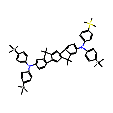 CC1(C)c2cc(N(c3ccc([Si](C)(C)C)cc3)c3ccc([Si](C)(C)C)cc3)ccc2-c2cc3c(cc21)-c1ccc(N(c2ccc([Si](C)(C)C)cc2)c2ccc(S(C)(C)C)cc2)cc1C3(C)C